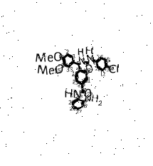 COc1ccc(C(NC(=O)Nc2ccc(Cl)cc2)c2ccc(C(=O)Nc3ccccc3N)cc2)cc1OC